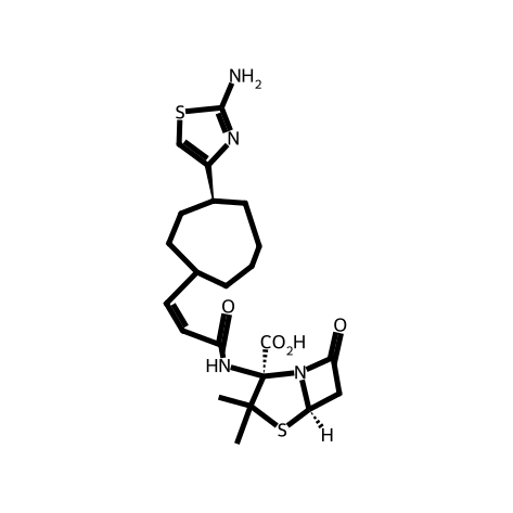 CC1(C)S[C@@H]2CC(=O)N2[C@@]1(NC(=O)/C=C\C1CCCC[C@H](c2csc(N)n2)CC1)C(=O)O